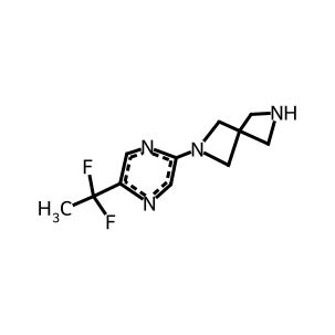 CC(F)(F)c1cnc(N2CC3(CNC3)C2)cn1